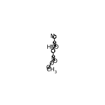 COCCOCC(=O)N1CC(c2ccc(NC(=O)N3CC(c4cccnc4)C3)cc2)C1